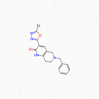 CCc1nnc(-c2cc3c([nH]c2=O)CCN(Cc2ccccc2)C3)o1